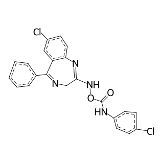 O=C(Nc1ccc(Cl)cc1)ONC1=Nc2ccc(Cl)cc2C(c2ccccc2)=NC1